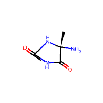 C[C@]1(N)NC(=O)NC1=O